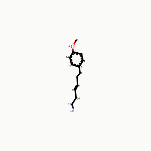 COc1ccc(CCC=CCCI)cc1